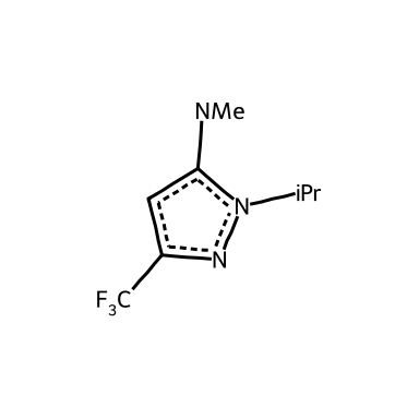 CNc1cc(C(F)(F)F)nn1C(C)C